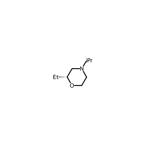 CC[C@@H]1CN(C(C)C)CCO1